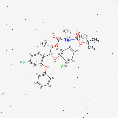 C[C@H](NC(=O)OC(C)(C)C)C(=O)O[C@@H](C)[C@H](Oc1ccccc1Cl)c1ccc(F)cc1Oc1ccccc1